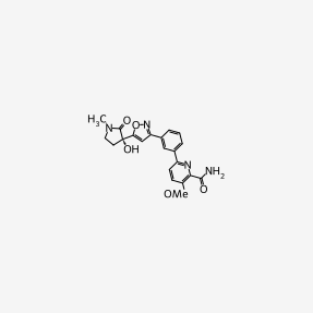 COc1ccc(-c2cccc(-c3cc([C@]4(O)CCN(C)C4=O)on3)c2)nc1C(N)=O